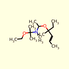 CC=CC(C)(CC)OC(C)N(C)C(C)(C)OCC